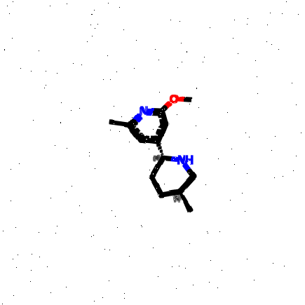 COc1cc([C@H]2CC[C@H](C)CN2)cc(C)n1